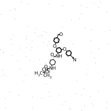 CC(C)(C)OC(=O)N[C@H]1CC[C@H](C(=O)Nc2cc(Oc3ccc(C#N)cc3)cc(Oc3ccc(C=O)cc3)c2)CC1